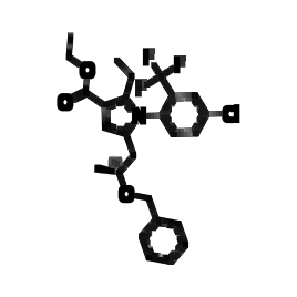 CCOC(=O)c1cc(C[C@H](C)OCc2ccccc2)n(-c2ccc(Cl)cc2C(F)(F)F)c1CC